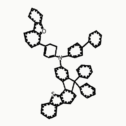 C1=C(c2cccc3c2oc2ccccc23)CCC(N(c2ccc(-c3ccccc3)cc2)c2ccc3c(c2)C(c2ccccc2)(c2ccccc2)c2ccc4c(sc5ccccc54)c2-3)=C1